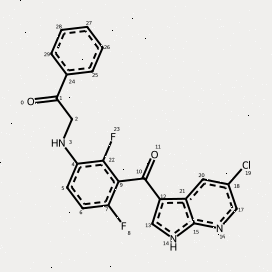 O=C(CNc1ccc(F)c(C(=O)c2c[nH]c3ncc(Cl)cc23)c1F)c1ccccc1